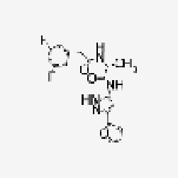 CC(NC(=O)Cc1cc(F)cc(F)c1)C(=O)Nc1cc(-c2ccco2)n[nH]1